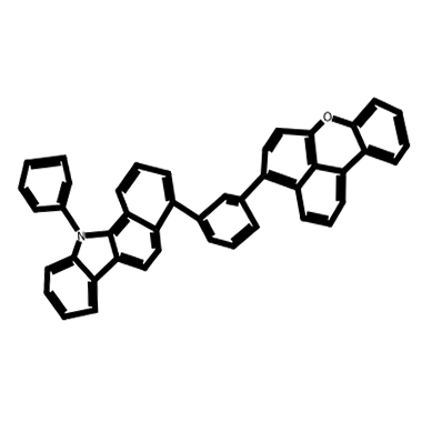 c1ccc(-n2c3ccccc3c3ccc4c(-c5cccc(-c6ccc7c8c(cccc68)-c6ccccc6O7)c5)cccc4c32)cc1